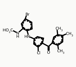 Cc1cc(C)c(C(=O)c2ccc(Nc3ccc(Br)cc3NC(=O)O)cc2Cl)cc1C